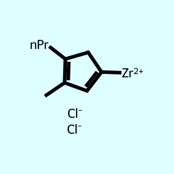 CCCC1=C(C)C=[C]([Zr+2])C1.[Cl-].[Cl-]